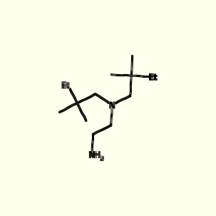 CCC(C)(C)CN(CCN)CC(C)(C)CC